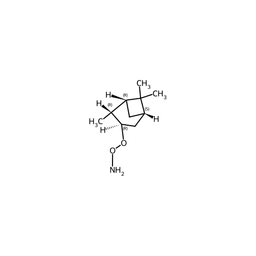 C[C@@H]1[C@H]2C[C@@H](C[C@H]1OON)C2(C)C